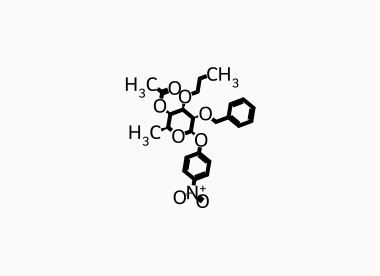 CCCO[C@H]1[C@H](OCc2ccccc2)[C@@H](Oc2ccc([N+](=O)[O-])cc2)O[C@@H](C)[C@H]1OC(C)=O